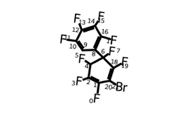 FC1=C(F)C(F)C(F)(c2cc(F)c(F)c(F)c2F)C(F)=C1Br